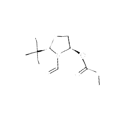 COC(=O)O[C@@H]1CS[C@H](C(C)(C)C)N1C=O